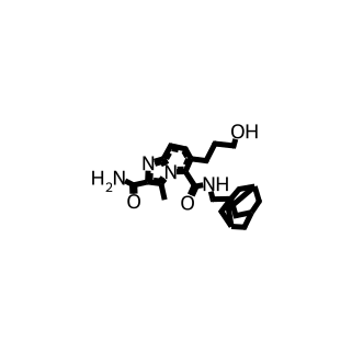 Cc1c(C(N)=O)nc2ccc(CCCO)c(C(=O)NCC34CC5CC(CC(C5)C3)C4)n12